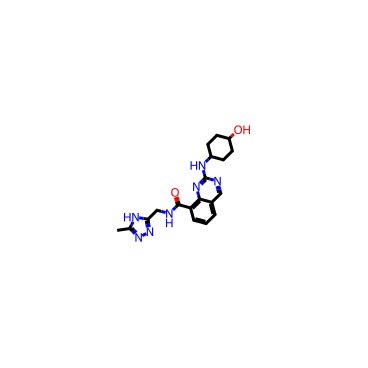 Cc1nnc(CNC(=O)c2cccc3cnc(NC4CCC(O)CC4)nc23)[nH]1